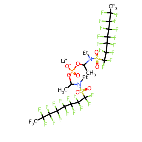 CCN(C(C)OP(=O)([O-])OC(C)N(CC)S(=O)(=O)C(F)(F)C(F)(F)C(F)(F)C(F)(F)C(F)(F)C(F)(F)C(F)(F)C(F)(F)F)S(=O)(=O)C(F)(F)C(F)(F)C(F)(F)C(F)(F)C(F)(F)C(F)(F)C(F)(F)C(F)(F)F.[Li+]